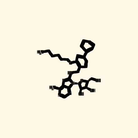 NCCCCCOc1cc(-c2ccccc2)ccc1CNc1nc2c(N)ncnc2n1[C@@H]1O[C@H](CO)[C@@H](O)[C@H]1O